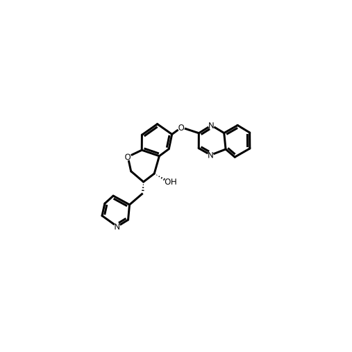 O[C@H]1c2cc(Oc3cnc4ccccc4n3)ccc2OC[C@H]1Cc1cccnc1